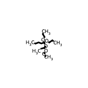 CCCCC(OCCC)(OCCC)OC(CC)OOC